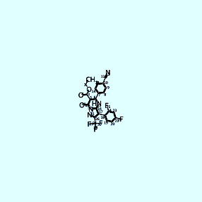 CCOC(=O)c1c(-c2ccc(C#N)cc2)[nH]c2c(-c3ccc(F)cc3F)c(C(F)(F)F)nn2c1=O